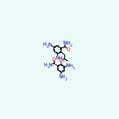 CC(Cc1c(N)cc(N)cc1C(N)=O)Oc1c(N)cc(N)cc1C(N)=O